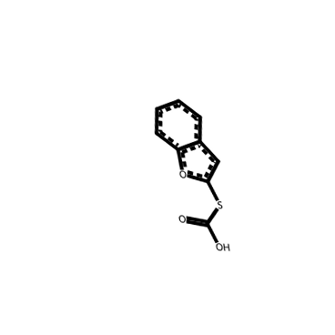 O=C(O)Sc1cc2ccccc2o1